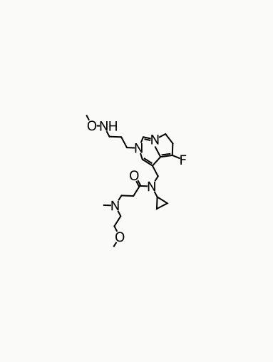 COCCN(C)CCC(=O)N(CC1=C/N(CCCNOC)/C=N/CC\C(F)=C\1C)C1CC1